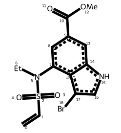 C=CS(=O)(=O)N(CC)c1cc(C(=O)OC)cc2[nH]cc(Br)c12